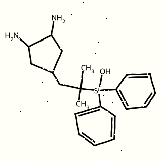 CC(C)(CC1CC(N)C(N)C1)[Si](O)(c1ccccc1)c1ccccc1